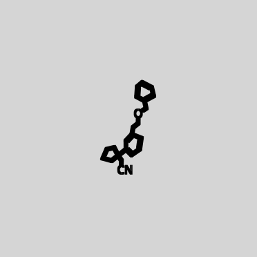 N#CCC1(c2cccc(CCOCc3ccccc3)c2)CCCC1